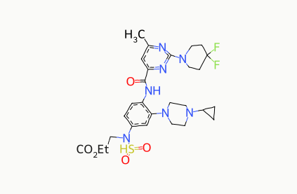 CCOC(=O)CN(c1ccc(NC(=O)c2cc(C)nc(N3CCC(F)(F)CC3)n2)c(N2CCN(C3CC3)CC2)c1)[SH](=O)=O